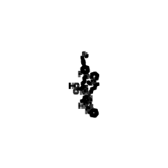 CCN(C(C)CCCN(c1cc(C)c(Nc2nc3ccccc3s2)nn1)c1nc(C(=O)O)c(CCCOc2ccc(C#CCN(C)C)cc2F)s1)N1CCCCC1